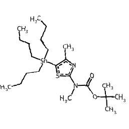 CCC[CH2][Sn]([CH2]CCC)([CH2]CCC)[c]1sc(N(C)C(=O)OC(C)(C)C)nc1C